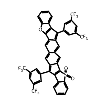 O=S1(=O)C2=C(C(c3cc(C(F)(F)F)cc(C(F)(F)F)c3)=c3cc4cc5c(cc4cc32)=C(c2cc(C(F)(F)F)cc(C(F)(F)F)c2)c2c-5oc3ccccc23)c2ccccc21